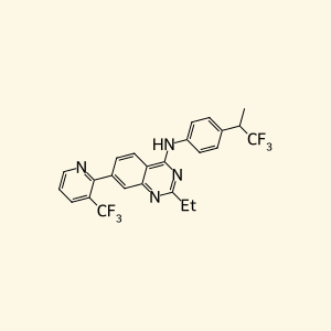 CCc1nc(Nc2ccc(C(C)C(F)(F)F)cc2)c2ccc(-c3ncccc3C(F)(F)F)cc2n1